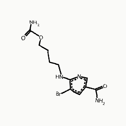 NC(=O)OCCCCNc1ncc(C(N)=O)cc1Br